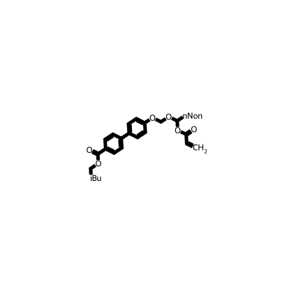 C=CC(=O)OC(CCCCCCCCC)OCOc1ccc(-c2ccc(C(=O)OCC(C)CC)cc2)cc1